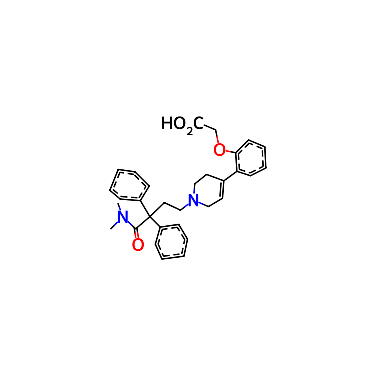 CN(C)C(=O)C(CCN1CC=C(c2ccccc2OCC(=O)O)CC1)(c1ccccc1)c1ccccc1